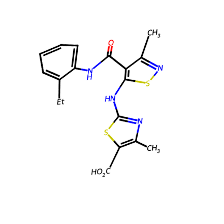 CCc1ccccc1NC(=O)c1c(C)nsc1Nc1nc(C)c(C(=O)O)s1